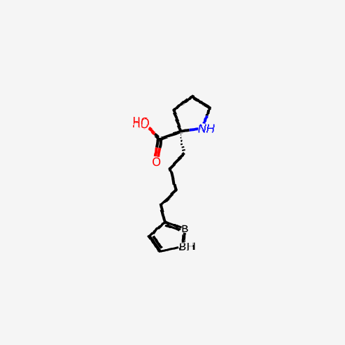 O=C(O)[C@@]1(CCCCC2=BBC=C2)CCCN1